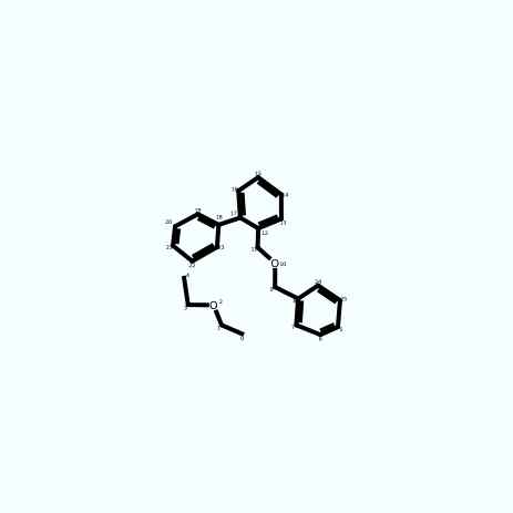 CCOCC.c1ccc(COCc2ccccc2-c2ccccc2)cc1